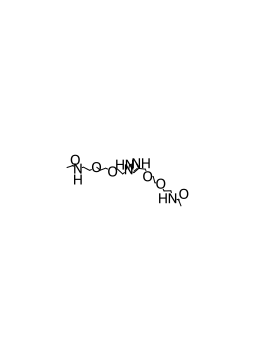 CC(=O)NCCOCCOCCN1C=C(COCCOCCNC(C)=O)NN1